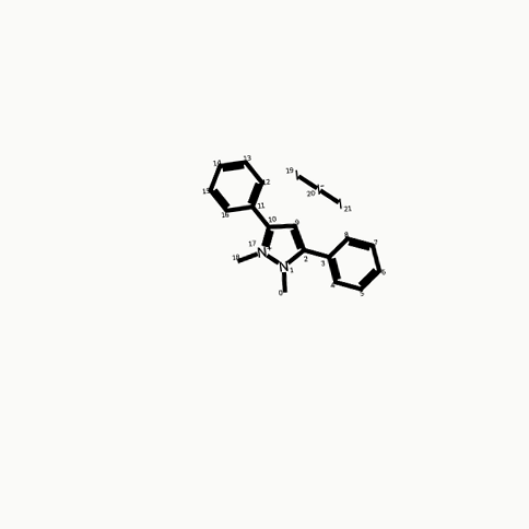 Cn1c(-c2ccccc2)cc(-c2ccccc2)[n+]1C.I[I-]I